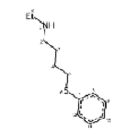 CCNCCCCSc1ccccc1